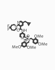 COc1ccc(CN(Cc2ccc(OC)cc2OC)S(=O)(=O)c2cc(NC(=O)c3cc(CC4CC4)cnc3N3CCCC(F)(F)CC3)ccn2)c(OC)c1